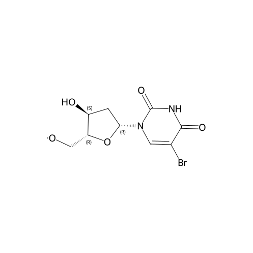 [O]C[C@H]1O[C@@H](n2cc(Br)c(=O)[nH]c2=O)C[C@@H]1O